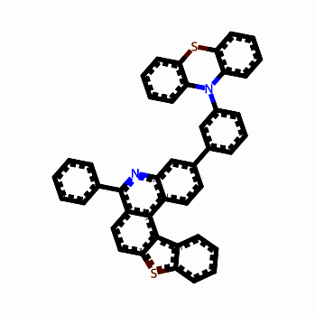 c1ccc(-c2nc3cc(-c4cccc(N5c6ccccc6Sc6ccccc65)c4)ccc3c3c2ccc2sc4ccccc4c23)cc1